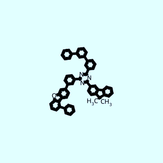 CC1(C)c2ccccc2-c2cc(-c3nc(-c4cccc(-c5cccc(-c6ccccc6)c5)c4)nc(-c4cccc(-c5ccc6c(c5)oc5cccc(-c7ccccc7)c56)c4)n3)ccc21